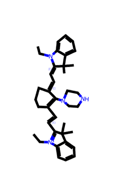 CCN1/C(=C/C=C2\CCCC(/C=C/C3=[N+](CC)c4ccccc4C3(C)C)=C2N2CCNCC2)C(C)(C)c2ccccc21